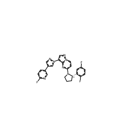 Fc1ccc(F)c([C@@H]2CCCN2c2ccn3ncc(-n4cc(-c5ccc(F)nc5)cn4)c3n2)c1